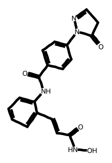 O=C(C=Cc1ccccc1NC(=O)c1ccc(N2N=CCC2=O)cc1)NO